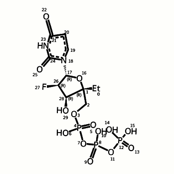 CC[C@]1(COP(=O)(O)OP(=O)(O)OP(=O)(O)O)O[C@@H](n2ccc(=O)[nH]c2=O)[C@H](F)[C@@H]1O